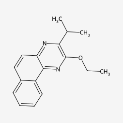 CCOc1nc2c(ccc3ccccc32)nc1C(C)C